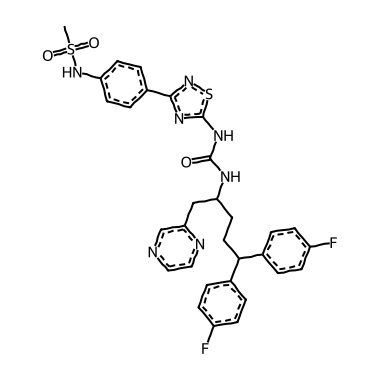 CS(=O)(=O)Nc1ccc(-c2nsc(NC(=O)NC(CCC(c3ccc(F)cc3)c3ccc(F)cc3)Cc3cnccn3)n2)cc1